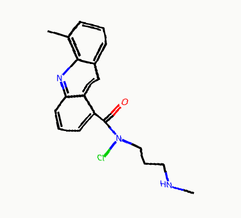 CNCCCN(Cl)C(=O)c1cccc2nc3c(C)cccc3cc12